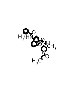 CCCC(=O)N1CCC(NS(=O)(=O)c2ccc(NC(=O)c3ccccc3C)c3ccccc23)C(C)C1